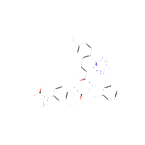 COC(=O)Nc1ccc(NC(=O)[C@H](Cc2ccccc2)NC(=O)/C=C/c2cc(Cl)ccc2-c2nnn[nH]2)c(Cl)c1